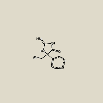 CC(C)CC1(c2ccccc2)NC(=N)NC1=O